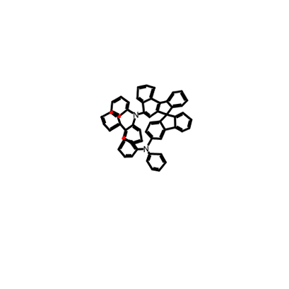 c1ccc(-c2ccccc2N(c2ccccc2)c2cc3c(c4ccccc24)-c2ccccc2C32c3ccccc3-c3cc(N(c4ccccc4)c4ccccc4)ccc32)cc1